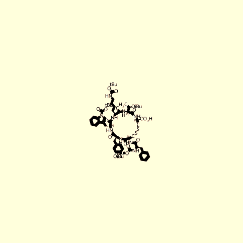 CC(C)COc1ccc(C[C@@H]2NC(=O)[C@@H](NC(=O)[C@@H](Cc3ccccc3)NC(=O)OC(C)(C)C)CSSC[C@@H](C(=O)O)NC(=O)[C@H]([C@@H](C)OCC(C)C)NC(=O)[C@H](CCCCNC(=O)OC(C)(C)C)NC(=O)[C@@H](Cc3cn(C(=O)OC(C)(C)C)c4ccccc34)NC2=O)cc1